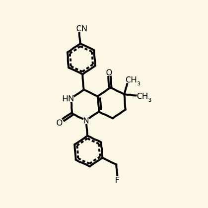 CC1(C)CCC2=C(C1=O)C(c1ccc(C#N)cc1)NC(=O)N2c1cccc(CF)c1